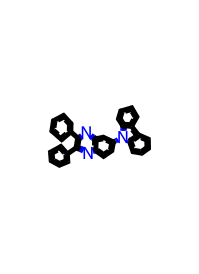 c1ccc(-c2nc3ccc(-n4c5ccccc5c5ccccc54)cc3nc2-c2ccccc2)cc1